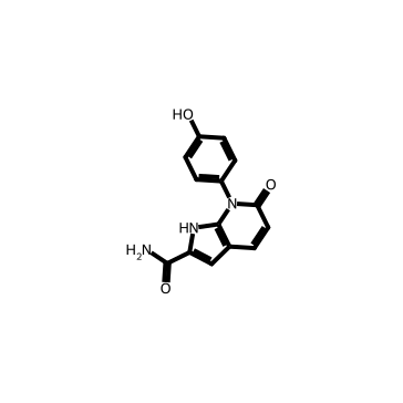 NC(=O)c1cc2ccc(=O)n(-c3ccc(O)cc3)c2[nH]1